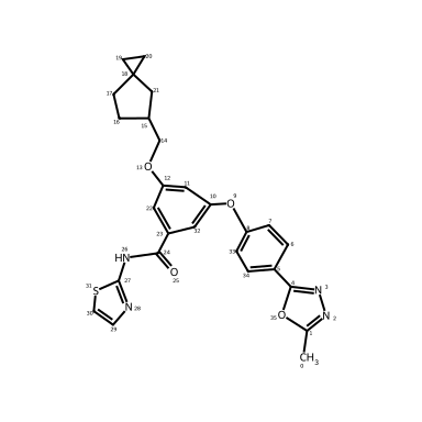 Cc1nnc(-c2ccc(Oc3cc(OCC4CCC5(CC5)C4)cc(C(=O)Nc4nccs4)c3)cc2)o1